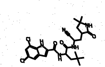 CC(C)(C)CC(NC(=O)c1cc2cc(Cl)cc(Cl)c2[nH]1)C(=O)NC(C#N)CC1CC(C)(C)NC1=O